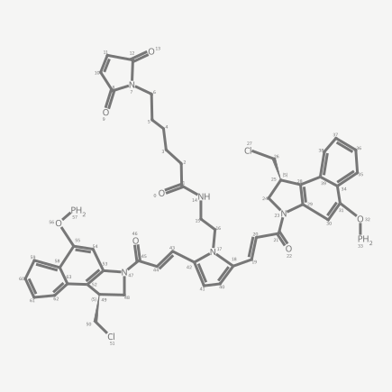 O=C(CCCCCN1C(=O)C=CC1=O)NCCn1c(C=CC(=O)N2C[C@@H](CCl)c3c2cc(OP)c2ccccc32)ccc1C=CC(=O)N1C[C@@H](CCl)c2c1cc(OP)c1ccccc21